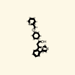 OC(CC1c2ccccc2-c2cncn21)[C@H]1CC[C@H](OCc2ccccn2)CC1